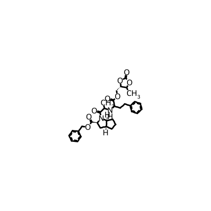 CC(NC(CCc1ccccc1)C(=O)OC[C@@H]1OC(=O)OC1C)C(=O)N1[C@H](C(=O)OCc2ccccc2)C[C@@H]2CCC[C@@H]21